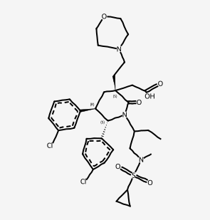 CCC(CN(C)S(=O)(=O)C1CC1)N1C(=O)[C@@](CCN2CCOCC2)(CC(=O)O)C[C@H](c2cccc(Cl)c2)[C@H]1c1ccc(Cl)cc1